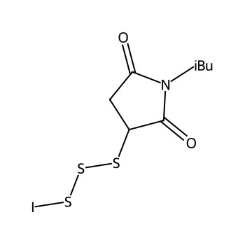 CCC(C)N1C(=O)CC(SSSI)C1=O